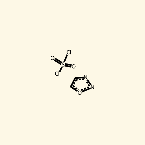 O=S(=O)(Cl)Cl.c1conn1